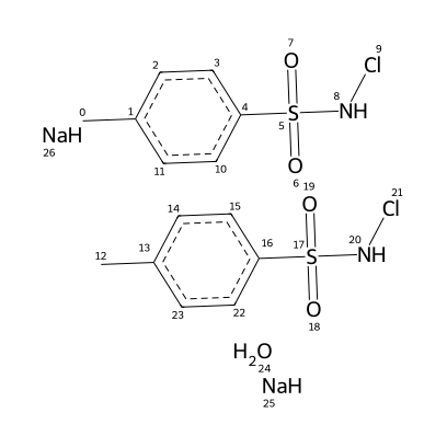 Cc1ccc(S(=O)(=O)NCl)cc1.Cc1ccc(S(=O)(=O)NCl)cc1.O.[NaH].[NaH]